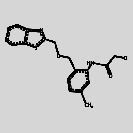 Cc1ccc(COCc2nc3ccccc3s2)c(NC(=O)CCl)c1